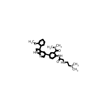 COc1ccccc1-c1c[nH]c2ncc(-c3ccc(NC(=O)CNCCN(C)C)c(C(=O)N(C)C)c3)cc12